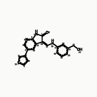 O=C1Nc2ncc(-c3ccsc3)cc2C1=CNc1cccc(CO)c1